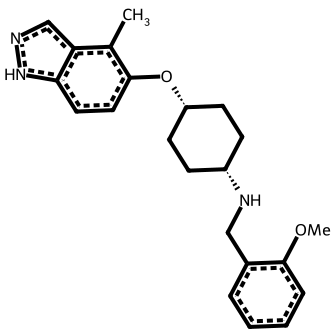 COc1ccccc1CN[C@H]1CC[C@@H](Oc2ccc3[nH]ncc3c2C)CC1